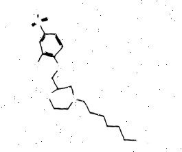 CCCCCCCCCCCCCCCCN1CCOC(CNc2ccc(S(N)(=O)=O)cc2[N+](=O)[O-])C1